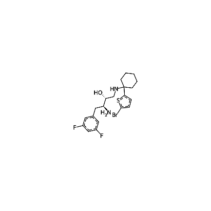 N[C@@H](Cc1cc(F)cc(F)c1)[C@H](O)CNC1(c2ccc(Br)s2)CCCCC1